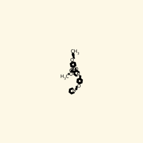 CC#CCOc1ccc(S(=O)(=O)C2(C(=O)OCC)CCN(Cc3ccc(OCCN4CCCCC4)cc3)CC2)cc1